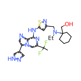 CCN(Cc1cc(Nc2nc(C(C)(F)F)cn3c(-c4cn[nH]c4)cnc23)sn1)C1(CO)CCCCC1